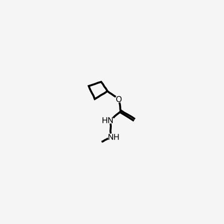 C=C(NNC)OC1CCC1